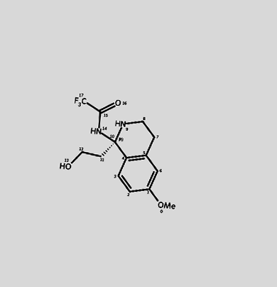 COc1ccc2c(c1)CCN[C@]2(CCO)NC(=O)C(F)(F)F